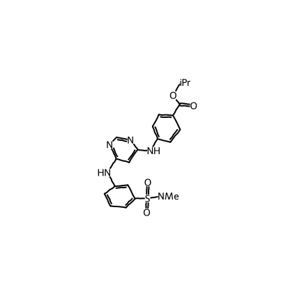 CNS(=O)(=O)c1cccc(Nc2cc(Nc3ccc(C(=O)OC(C)C)cc3)ncn2)c1